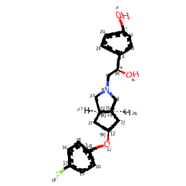 Oc1ccc([C@@H](O)CN2C[C@H]3C[C@@H](Oc4ccc(F)cc4)C[C@H]3C2)cc1